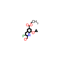 CCOC(=O)c1cc(OC2CC2)c2nc(C=O)c(F)cc2c1